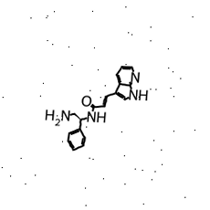 NC[C@@H](NC(=O)C=Cc1c[nH]c2ncccc12)c1ccccc1